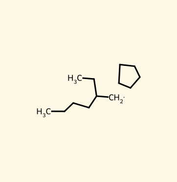 C1CCCC1.[CH2]C(CC)CCCC